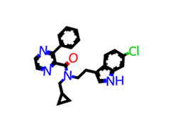 O=C(c1nccnc1-c1ccccc1)N(CCc1c[nH]c2cc(Cl)ccc12)CC1CC1